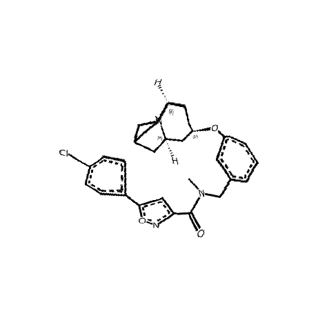 CN(Cc1cccc(O[C@H]2C[C@H]3CC4CN3[C@@H]4C2)c1)C(=O)c1cc(-c2ccc(Cl)cc2)on1